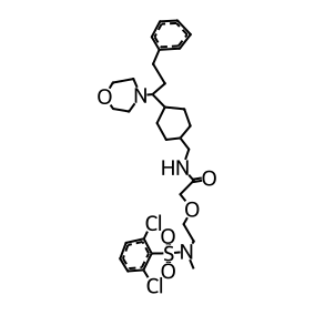 CN(CCOCC(=O)NCC1CCC(C(CCc2ccccc2)N2CCOCC2)CC1)S(=O)(=O)c1c(Cl)cccc1Cl